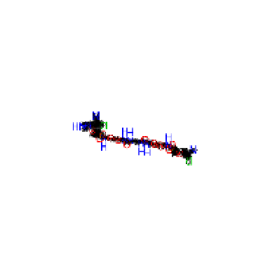 Cc1cc(S(=O)(=O)NCCOCCOCCNC(=O)NCCCCNC(=O)NCCOCCOCCNS(=O)(=O)c2ccc(O[C@H]3c4cc(Cl)cc(C#N)c4C[C@@H]3N3CCNCC3)c(C)c2)ccc1O[C@@H]1CCc2c(C#N)cc(Cl)cc21